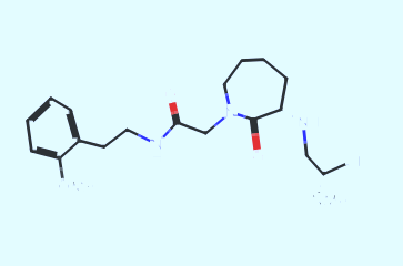 CN[C@@H](C)CN[C@H]1CCCCN(CC(=O)NCCc2ccccc2OC)C1=O